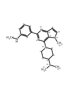 CNc1cccc(-c2nc(N3CCC(N(C)C)CC3)c3c(ccn3C)n2)c1